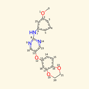 COc1cccc(Nc2ncc(Oc3ccc4c(c3)OCCO4)cn2)c1